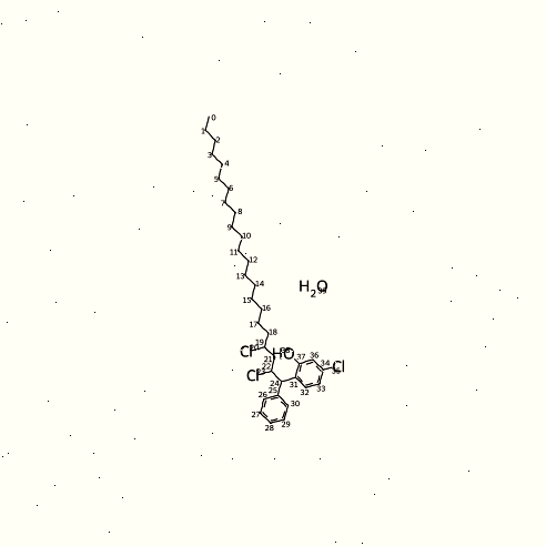 CCCCCCCCCCCCCCCCCCCC(Cl)CC(Cl)C(c1ccccc1)c1ccc(Cl)cc1O.O